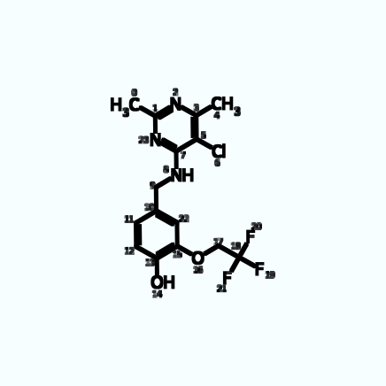 Cc1nc(C)c(Cl)c(NCc2ccc(O)c(OCC(F)(F)F)c2)n1